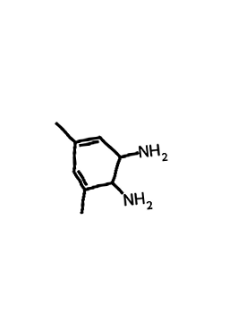 CC1=CC(N)C(N)C(C)=C1